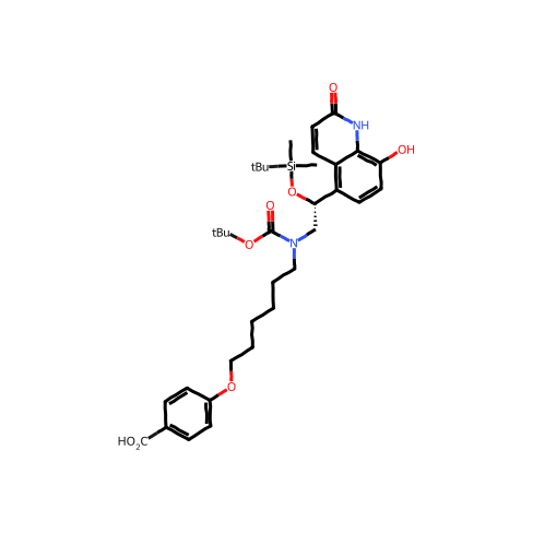 CC(C)(C)OC(=O)N(CCCCCCOc1ccc(C(=O)O)cc1)C[C@H](O[Si](C)(C)C(C)(C)C)c1ccc(O)c2[nH]c(=O)ccc12